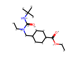 CCOC(=O)C1CCC(CN(CC)C(=O)NC(C)(C)C)CC1